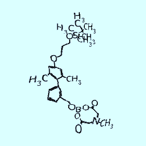 Cc1cc(OCCCO[Si](C)(C)C(C)(C)C)cc(C)c1-c1cccc(COB2OC(=O)CN(C)CC(=O)O2)c1